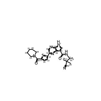 C[C@H](NC(=O)c1c[nH]c2ncc(-c3ccc(C(=O)N4CCCCC4)s3)nc12)C(C)(C)C#N